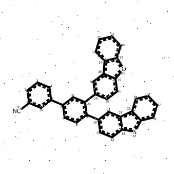 N#Cc1cccc(-c2ccc(-c3ccc4sc5ccccc5c4c3)c(-c3ccc4oc5ccccc5c4c3)c2)c1